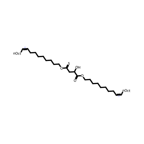 CCCCCCCC/C=C\CCCCCCCCOC(=O)C(O)CC(=S)OCCCCCCCC/C=C\CCCCCCCC